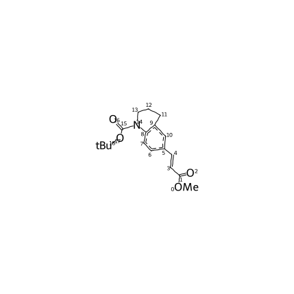 COC(=O)C=Cc1ccc2c(c1)CCCN2C(=O)OC(C)(C)C